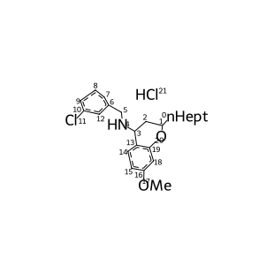 CCCCCCCC1CC(NCc2cccc(Cl)c2)c2ccc(OC)cc2O1.Cl